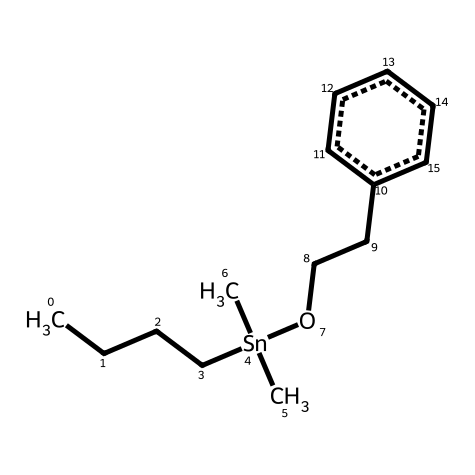 CCC[CH2][Sn]([CH3])([CH3])[O]CCc1ccccc1